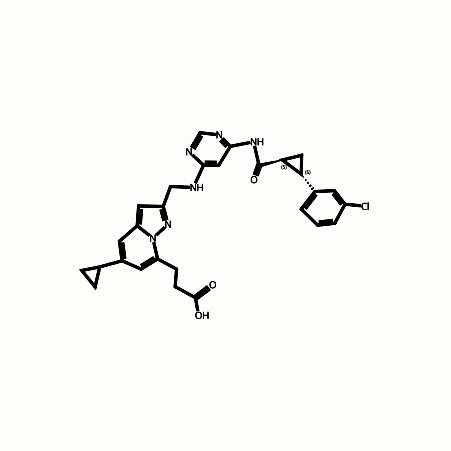 O=C(O)CCc1cc(C2CC2)cc2cc(CNc3cc(NC(=O)[C@H]4C[C@@H]4c4cccc(Cl)c4)ncn3)nn12